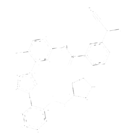 Cc1ccc(NC(=O)c2cccc(C(C)C#N)c2)cc1-n1cc(-c2cnccc2OCC2CCCC2)cn1